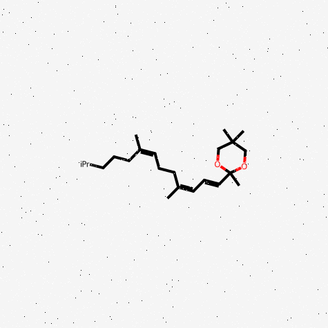 C/C(=C/C=CC1(C)OCC(C)(C)CO1)CC/C=C(/C)CCCC(C)C